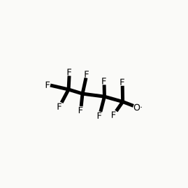 [O]C(F)(F)C(F)(F)C(F)(F)C(F)(F)F